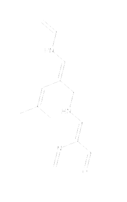 C=CN/C=C(\C=C(C)C)CN/C=C(/C=O)N=C